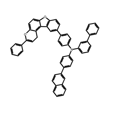 C1=C(c2ccccc2)Oc2ccc3oc4ccc(-c5ccc(N(c6ccc(-c7ccc8ccccc8c7)cc6)c6cccc(-c7ccccc7)c6)cc5)cc4c3c2C1